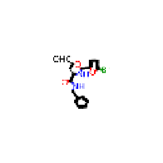 O=CCC[C@H](NC(=O)c1ccc(Br)o1)C(=O)NCc1ccccc1